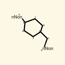 CCCCCCCCCCC1CCC(CCCCCCCCC)CC1